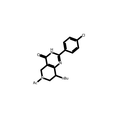 CCCCC1CN(C(C)=O)Cc2c1nc(-c1ccc(Cl)cc1)[nH]c2=O